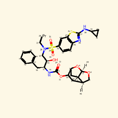 CC[C@]12CC3O[C@H]1OC[C@H]2CC3OC(=O)N[C@@H](Cc1ccccc1)[C@H](O)CN(CC(C)C)S(=O)(=O)c1ccc2nc(NC3CC3)sc2c1